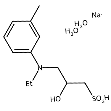 CCN(CC(O)CS(=O)(=O)O)c1cccc(C)c1.O.O.[Na]